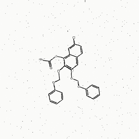 CCCC(=O)Oc1c(OCOc2ccccc2)c(OCOc2ccccc2)cc2ccc(Cl)cc12